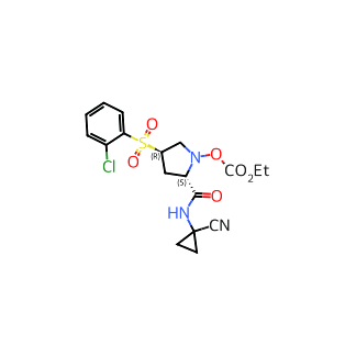 CCOC(=O)ON1C[C@H](S(=O)(=O)c2ccccc2Cl)C[C@H]1C(=O)NC1(C#N)CC1